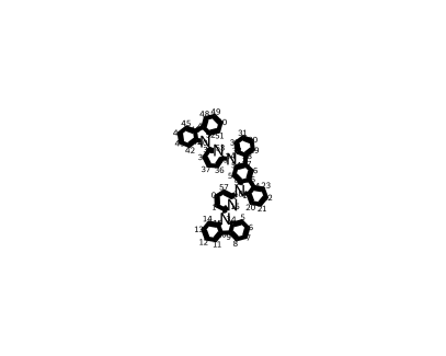 c1cc(-n2c3ccccc3c3ccccc32)nc(-n2c3ccccc3c3cc4c5ccccc5n(-c5cccc(-n6c7ccccc7c7ccccc76)n5)c4cc32)c1